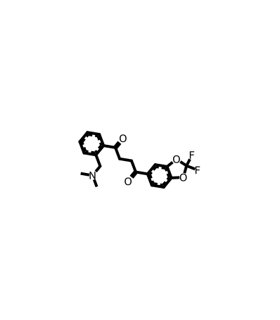 CN(C)Cc1ccccc1C(=O)CCC(=O)c1ccc2c(c1)OC(F)(F)O2